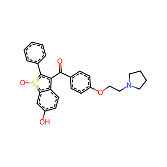 O=C(c1ccc(OCCN2CCCC2)cc1)c1c(-c2ccccc2)[s+]([O-])c2cc(O)ccc12